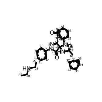 CC(=O)NC1=NN(c2ccccc2)C(=O)C1(NC(C)=O)Nc1ccccc1.CCNCC.c1cc2cc-2c1